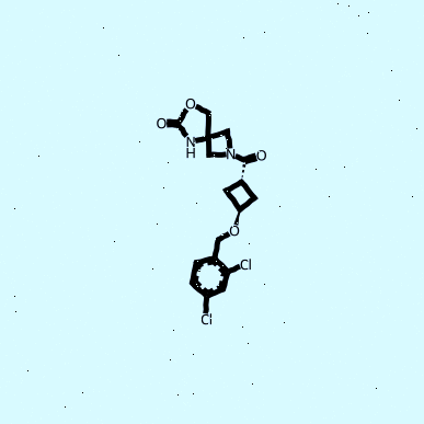 O=C1NC2(CO1)CN(C(=O)[C@H]1C[C@H](OCc3ccc(Cl)cc3Cl)C1)C2